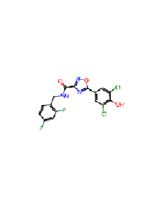 O=C(NCc1ccc(F)cc1F)c1noc(-c2cc(Cl)c(O)c(Cl)c2)n1